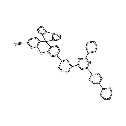 N#Cc1ccc2c(c1)Sc1cc(-c3cccc(-c4cc(-c5ccc(-c6ccccc6)cc5)nc(-c5ccccc5)n4)c3)ccc1C21c2ccccc2-c2ccccc21